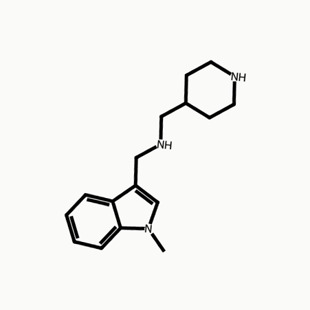 Cn1cc(CNCC2CCNCC2)c2ccccc21